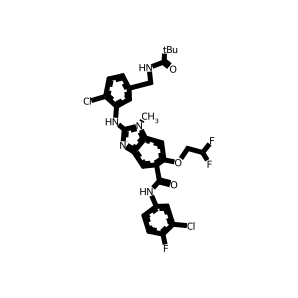 Cn1c(Nc2cc(CNC(=O)C(C)(C)C)ccc2Cl)nc2cc(C(=O)Nc3ccc(F)c(Cl)c3)c(OCC(F)F)cc21